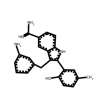 Cc1ccc(O)c(-c2[nH]c3ccc(C(=N)N)cc3c2Cc2cccc(N)c2)c1